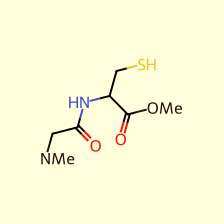 CNCC(=O)NC(CS)C(=O)OC